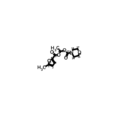 Cc1ccc(C(=O)OC(C)OC(=O)N2CCOCC2)o1